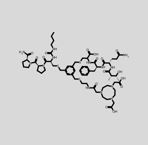 CCCCNC(=O)N[C@@H](CSCc1cc(CSCCNC(=O)CN2CCN(CC(=O)O)CCN(CC(=O)O)CC2)cc(CSCC(NC(=O)[C@H](Cc2ccccc2)NC(=O)[C@H](CCC(N)=O)NC(=O)[C@@H](C)[C@@H](C)O)C(=O)O)c1)C(=O)N1CCC[C@H]1C(=O)N1CCC[C@H]1C(N)=O